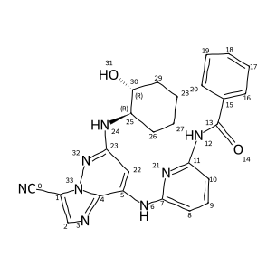 N#Cc1cnc2c(Nc3cccc(NC(=O)c4ccccc4)n3)cc(N[C@@H]3CCCC[C@H]3O)nn12